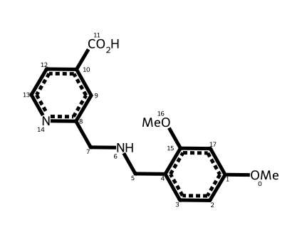 COc1ccc(CNCc2cc(C(=O)O)ccn2)c(OC)c1